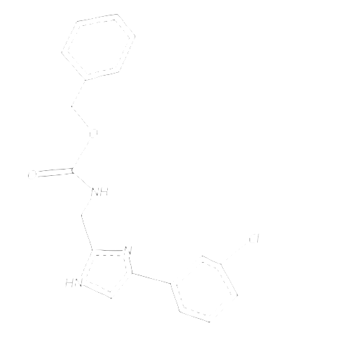 O=C(NCc1nc(-c2cccc(Cl)c2)c[nH]1)OCc1ccccc1